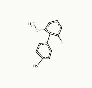 COc1cccc(F)c1-c1ccc(S)cc1